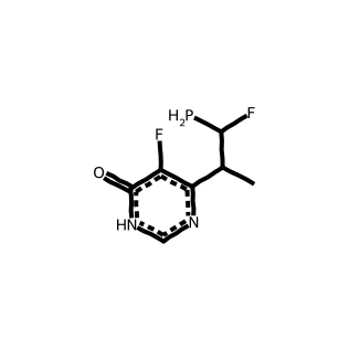 CC(c1nc[nH]c(=O)c1F)C(F)P